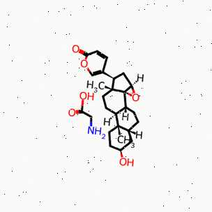 C[C@]12CC[C@H](O)C[C@H]1CC[C@@H]1[C@@H]2CC[C@]2(C)[C@@H](c3ccc(=O)oc3)C[C@H]3O[C@]132.NCC(=O)O